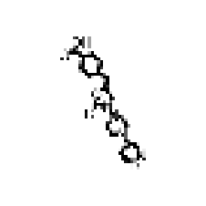 O=C(O)C1CCC(CC2CN(N3CCN(c4ccnnc4)CC3)C(=O)O2)CC1